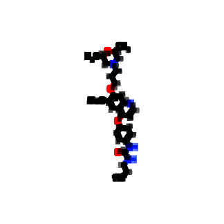 COc1cc2c(Oc3ccc(NC(=O)NCCC(C)(C)C)cc3)ccnc2cc1OCCCN1CC(C)OC(C)C1